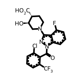 O=C(O)[C@@H]1CCN(c2nn(C(=O)c3c(Cl)cccc3C(F)(F)F)c3cccc(F)c23)C[C@H]1O